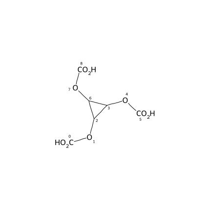 O=C(O)OC1C(OC(=O)O)C1OC(=O)O